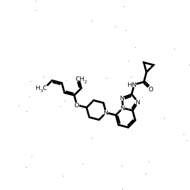 C=C/C(=C\C=C/C)OC1CCN(c2cccc3nc(NC(=O)C4CC4)nn23)CC1